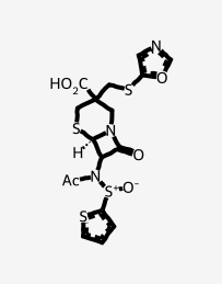 CC(=O)N(C1C(=O)N2CC(CSc3cnco3)(C(=O)O)CS[C@H]12)[S+]([O-])c1cccs1